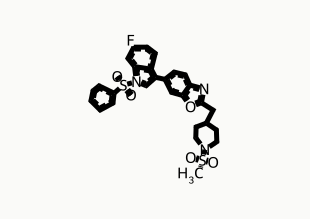 CS(=O)(=O)N1CCC(Cc2nc3ccc(-c4cn(S(=O)(=O)c5ccccc5)c5cc(F)ccc45)cc3o2)CC1